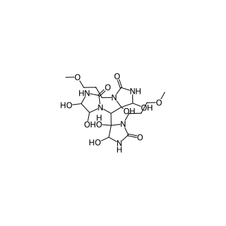 COCCCN1C(=O)NC(O)C1(O)C(N1C(=O)NC(O)C1O)C1(O)C(O)NC(=O)N1CCCOC